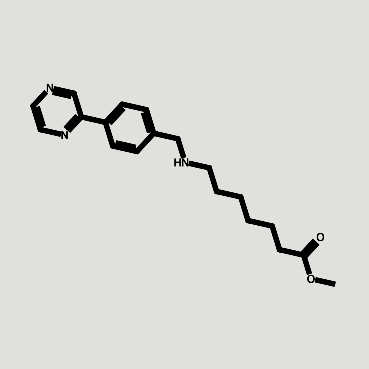 COC(=O)CCCCCCNCc1ccc(-c2cnccn2)cc1